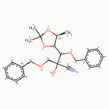 C[C@@H]1OC(C)(C)OC1C(OCc1ccccc1)C(O)(C#N)COCc1ccccc1